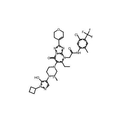 CCc1c(N2CCN(c3cnn(C4CCC4)c3O)[C@H](C)C2)c(=O)n2nc(C3=CCOCC3)nc2n1CC(=O)Nc1cc(Cl)c(C(F)(F)F)cc1C